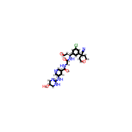 N#CC1(c2cc(Cl)cc([C@H](CC=O)NC(=O)CNC(=O)c3cncc(NC4=NCC(O)CN4)c3)c2)CCOCC1